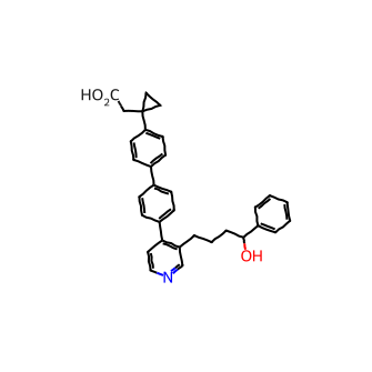 O=C(O)CC1(c2ccc(-c3ccc(-c4ccncc4CCCC(O)c4ccccc4)cc3)cc2)CC1